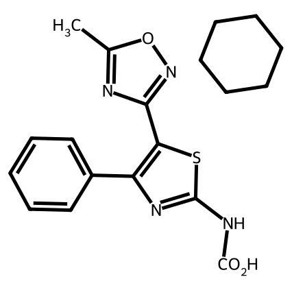 C1CCCCC1.Cc1nc(-c2sc(NC(=O)O)nc2-c2ccccc2)no1